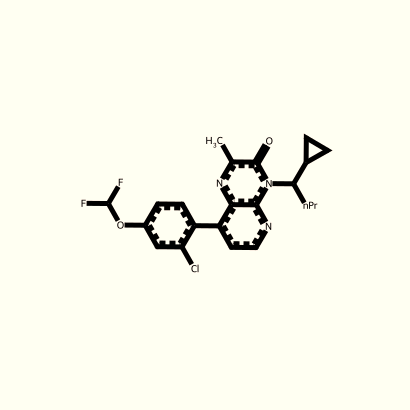 CCCC(C1CC1)n1c(=O)c(C)nc2c(-c3ccc(OC(F)F)cc3Cl)ccnc21